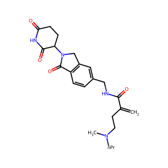 C=C(CCN(C)CCC)C(=O)NCc1ccc2c(c1)CN(C1CCC(=O)NC1=O)C2=O